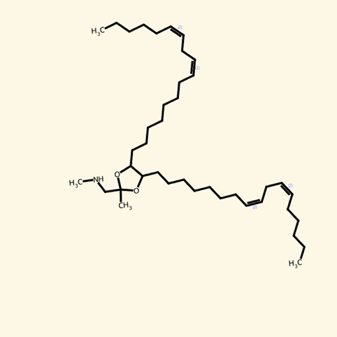 CCCCC/C=C\C/C=C\CCCCCCCC1OC(C)(CNC)OC1CCCCCCC/C=C\C/C=C\CCCCC